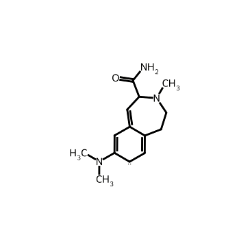 CN(C)C1=CC2=CC(C(N)=O)N(C)CCC2=C[C]1